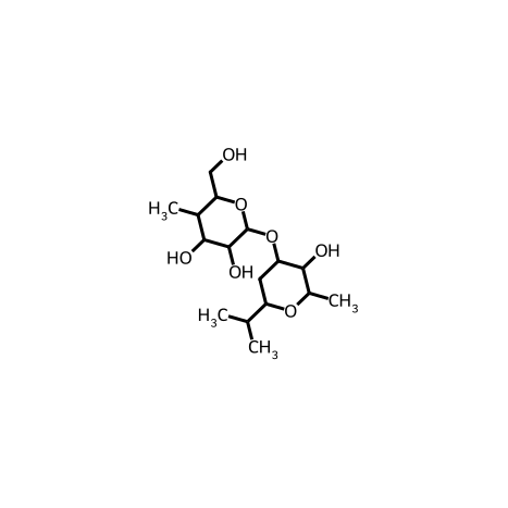 CC(C)C1CC(OC2OC(CO)C(C)C(O)C2O)C(O)C(C)O1